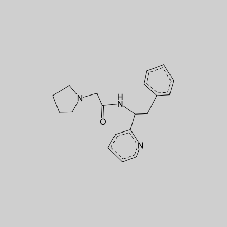 O=C(CN1CCCC1)NC(Cc1ccccc1)c1ccccn1